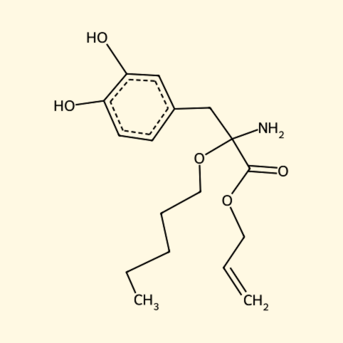 C=CCOC(=O)C(N)(Cc1ccc(O)c(O)c1)OCCCCC